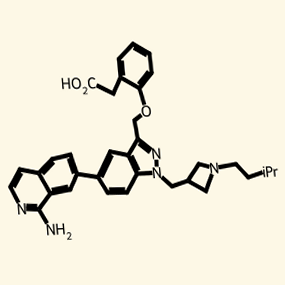 CC(C)CCN1CC(Cn2nc(COc3ccccc3CC(=O)O)c3cc(-c4ccc5ccnc(N)c5c4)ccc32)C1